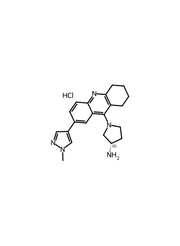 Cl.Cn1cc(-c2ccc3nc4c(c(N5CC[C@H](N)C5)c3c2)CCCC4)cn1